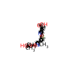 Cc1nc(OCCOCC(C)(C)O)ccc1-c1ccc(F)c(COc2cc3c(cn2)C2[C@@H](C3)[C@@H]2C(=O)O)c1